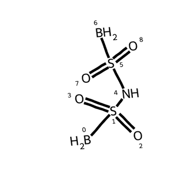 BS(=O)(=O)NS(B)(=O)=O